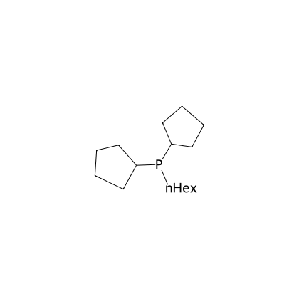 CCCCCCP(C1CCCC1)C1CCCC1